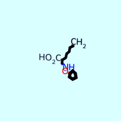 C=CCCCC[C@H](CNOc1ccccc1)C(=O)O